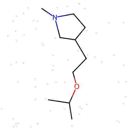 CC(C)OCCC1CCN(C)C1